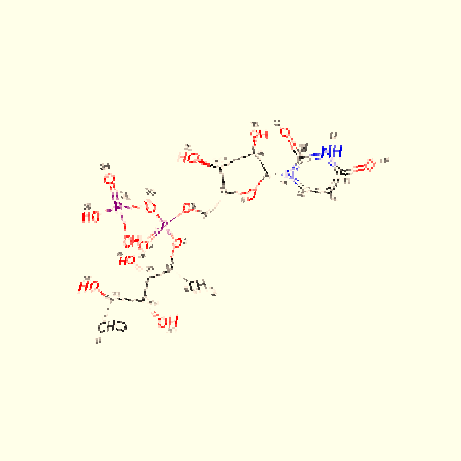 C[C@@H](OP(=O)(OC[C@H]1O[C@@H](n2ccc(=O)[nH]c2=O)[C@H](O)[C@@H]1O)OP(=O)(O)O)[C@@H](O)[C@H](O)[C@@H](O)C=O